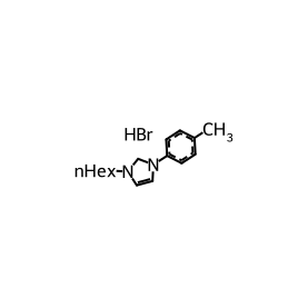 Br.CCCCCCN1C=CN(c2ccc(C)cc2)C1